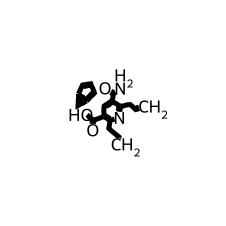 C=CCc1nc(CC=C)c(C(=O)O)cc1C(N)=O.c1cc2cc-2c1